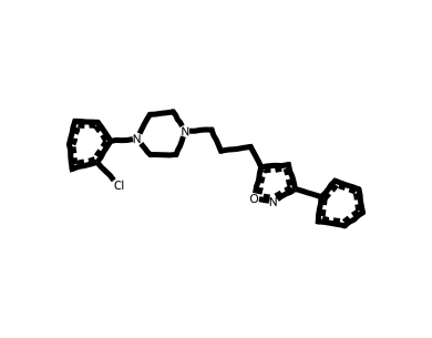 Clc1ccccc1N1CCN(CCCc2cc(-c3ccccc3)no2)CC1